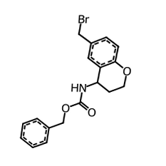 O=C(NC1CCOc2ccc(CBr)cc21)OCc1ccccc1